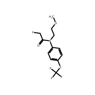 COCCN(C(=O)CF)c1ccc(SC(F)(F)F)cc1